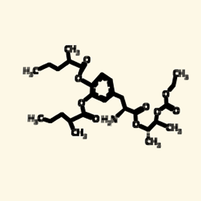 CCCC(C)C(=O)Oc1ccc(C[C@H](N)C(=O)O[C@@H](C)C(C)OC(=O)OCC)cc1OC(=O)C(C)CCC